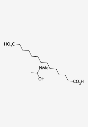 CNC(C)O.O=C(O)CCCCCCCCCCCCC(=O)O